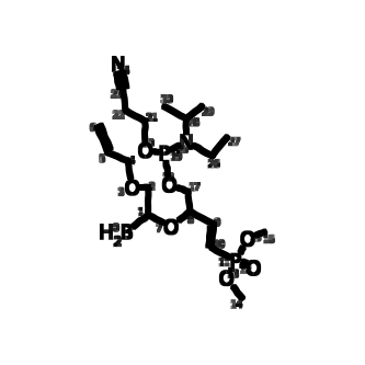 BC(COCC=C)OC(/C=C/P(=O)(OC)OC)COP(OCCC#N)N(CC)C(C)C